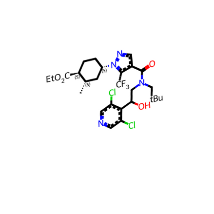 CCOC(=O)[C@H]1CC[C@H](n2ncc(C(=O)N(CC(O)c3c(Cl)cncc3Cl)CC(C)(C)C)c2C(F)(F)F)C[C@@H]1C